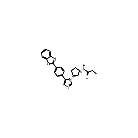 CCC(=O)N[C@H]1CC[C@@H](n2cncc2-c2ccc(-c3nc4ccccc4o3)cc2)C1